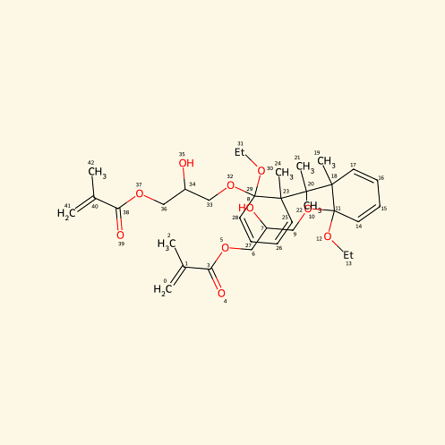 C=C(C)C(=O)OCC(O)COC1(OCC)C=CC=CC1(C)C(C)(C)C1(C)C=CC=CC1(OCC)OCC(O)COC(=O)C(=C)C